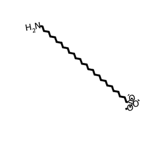 CO[Si](CCCCCCCCCCCCCCCCCCCCCCCCCCCCN)(OC)OC